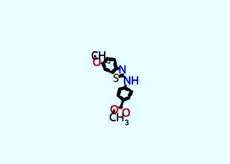 COC(=O)c1ccc(Nc2nc3ccc(OC)cc3s2)cc1